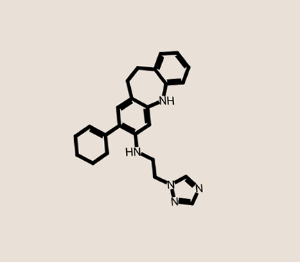 C1=C(c2cc3c(cc2NCCn2cncn2)Nc2ccccc2CC3)CCCC1